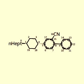 CCCCCCC[C@H]1CC[C@H](c2ccc(-c3ccccc3)c(C#N)c2)CC1